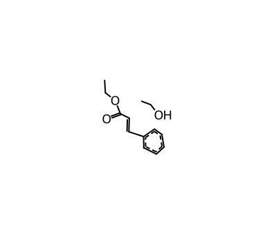 CCO.CCOC(=O)C=Cc1ccccc1